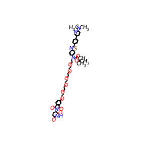 CN(C)c1ccc(-c2ccc(-c3nc4ccc(N(CCOCCOCCOCCOCCOCCOc5ccc6c(c5)C(=O)N(C5CCC(=O)NC5=O)C6=O)C(=O)OC(C)(C)C)cc4s3)cc2)cn1